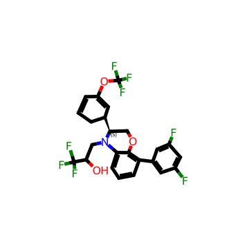 OC(CN1c2cccc(-c3cc(F)cc(F)c3)c2OC[C@@H]1C1C=C(OC(F)(F)F)C=CC1)C(F)(F)F